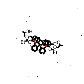 CCC(OCC(C)O)Oc1c(C)cccc1-c1ccccc1C1(c2ccccc2-c2cccc(C)c2OC(CC)OCC(C)O)c2ccccc2-c2ccccc21